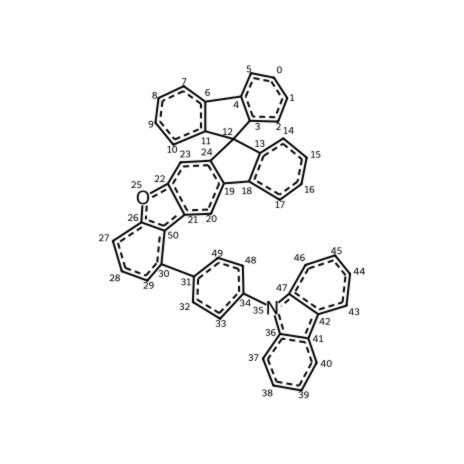 c1ccc2c(c1)-c1ccccc1C21c2ccccc2-c2cc3c(cc21)oc1cccc(-c2ccc(-n4c5ccccc5c5ccccc54)cc2)c13